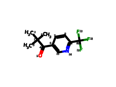 CC(C)(C)C(=O)c1ccc(C(F)(F)F)nc1